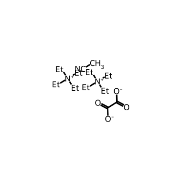 CC#N.CC[N+](CC)(CC)CC.CC[N+](CC)(CC)CC.O=C([O-])C(=O)[O-]